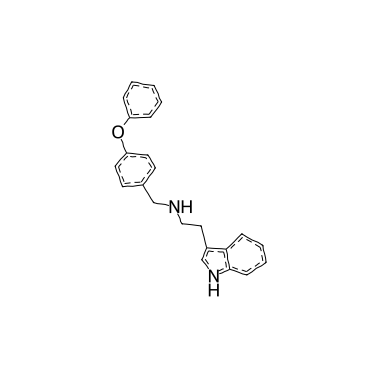 c1ccc(Oc2ccc(CNCCc3c[nH]c4ccccc34)cc2)cc1